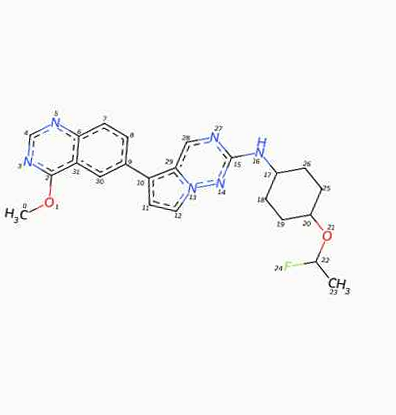 COc1ncnc2ccc(-c3ccn4nc(NC5CCC(OC(C)F)CC5)ncc34)cc12